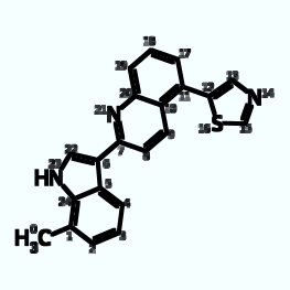 Cc1cccc2c(-c3ccc4c(-c5cncs5)cccc4n3)c[nH]c12